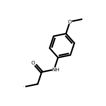 [CH2]CC(=O)Nc1ccc(OC)cc1